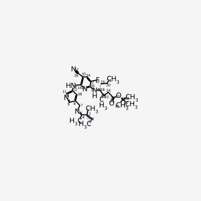 C/C=C(C)\C(C)=N/Cc1cncc(Nc2nc(N[C@H](CCC)[C@H](C)CC(=O)OC(C)(C)C)c(F)cc2C#N)c1